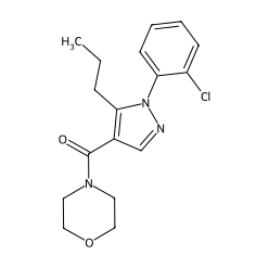 CCCc1c(C(=O)N2CCOCC2)cnn1-c1ccccc1Cl